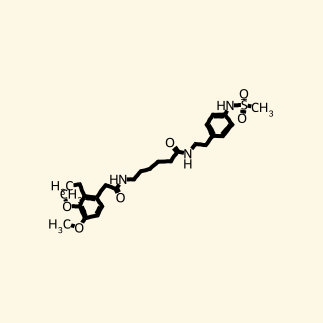 CCc1c(CC(=O)NCCCCCC(=O)NCCc2ccc(NS(C)(=O)=O)cc2)ccc(OC)c1OC